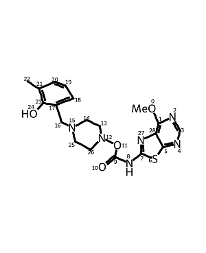 COc1ncnc2sc(NC(=O)ON3CCN(Cc4cccc(C)c4O)CC3)nc12